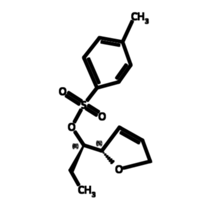 CC[C@@H](OS(=O)(=O)c1ccc(C)cc1)[C@@H]1C=CCO1